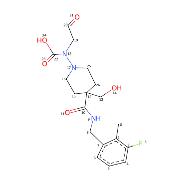 Cc1c(F)cccc1CNC(=O)C1(CO)CCN(N(CC=O)C(=O)O)CC1